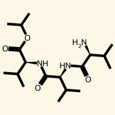 CC(C)OC(=O)[C@@H](NC(=O)[C@@H](NC(=O)[C@@H](N)C(C)C)C(C)C)C(C)C